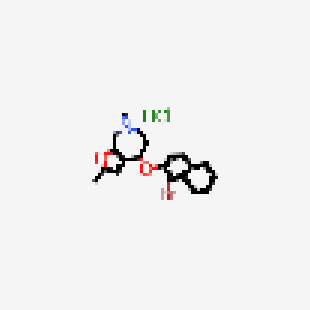 Cc1cc2c(o1)CN(C)CCC2Oc1ccc2ccccc2c1Br.Cl